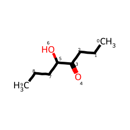 CCCC(=O)C(O)CCC